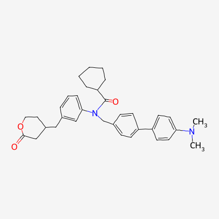 CN(C)c1ccc(-c2ccc(CN(C(=O)C3CCCCC3)c3cccc(CC4CCOC(=O)C4)c3)cc2)cc1